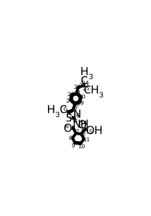 Cc1sc(NC(=O)C2CC=CCC2C(=O)O)nc1-c1ccc(CC(C)C)cc1